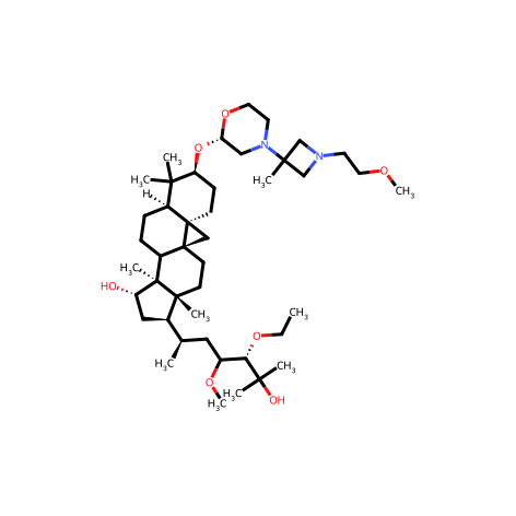 CCO[C@@H](C(C[C@@H](C)[C@H]1C[C@H](O)[C@@]2(C)C3CC[C@H]4C(C)(C)[C@@H](O[C@H]5CN(C6(C)CN(CCOC)C6)CCO5)CC[C@@]45C[C@@]35CC[C@]12C)OC)C(C)(C)O